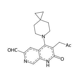 CC(=O)Cc1c(N2CCC3(CC2)CC3)c2cc(C=O)ncc2[nH]c1=O